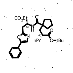 CCC[C@H](CC1(C(=O)N[C@@H](Cc2ncc(-c3ccccc3)o2)C(=O)OCC)CCCC1)C(=O)OC(C)(C)C